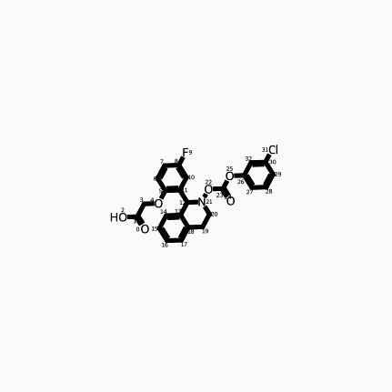 O=C(O)COc1ccc(F)cc1C1c2ccccc2CCN1OC(=O)Oc1cccc(Cl)c1